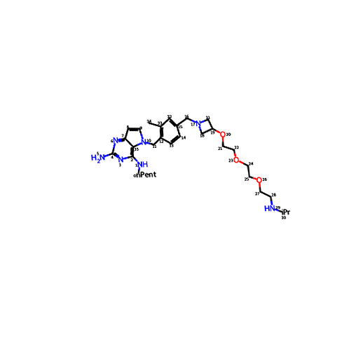 CCCCCNc1nc(N)nc2ccn(Cc3ccc(CN4CC(OCCOCCOCCNC(C)C)C4)cc3C)c12